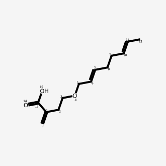 C=C(CCOCC=CCCC=CC)C(=O)O